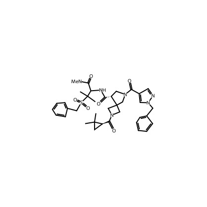 CNC(=O)C(NC(=O)[C@@H]1CN(C(=O)c2cnn(Cc3ccccc3)c2)CC12CN(C(=O)[C@H]1CC1(C)C)C2)C(C)(C)S(=O)(=O)Cc1ccccc1